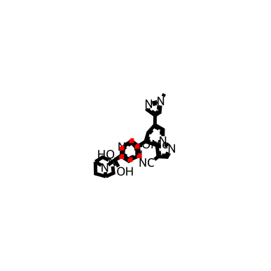 COc1ccc(C(O)(O)N2C3CC2CN(c2ccc(-c4cc(-c5cnn(C)c5)cn5ncc(C#N)c45)cn2)C3)cn1